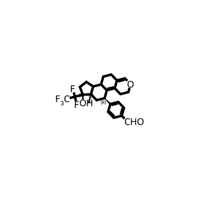 C[C@]12C[C@H](c3ccc(C=O)cc3)C3=C4CCOC=C4CCC3C1CC[C@@]2(O)C(F)(F)C(F)(F)F